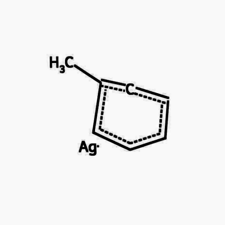 Cc1ccccc1.[Ag]